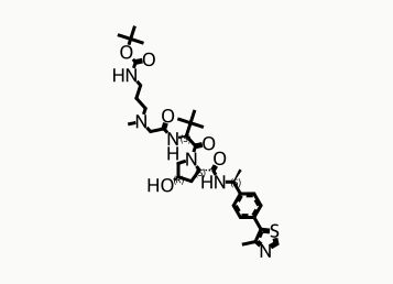 Cc1ncsc1-c1ccc([C@H](C)NC(=O)[C@@H]2C[C@@H](O)CN2C(=O)[C@@H](NC(=O)CN(C)CCCNC(=O)OC(C)(C)C)C(C)(C)C)cc1